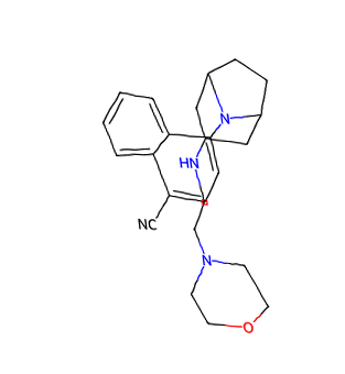 N#Cc1ccc(N2C3CCC2CC(NCCN2CCOCC2)C3)c2ccccc12